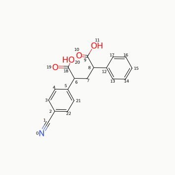 N#Cc1ccc(C(CC(C(=O)O)c2ccccc2)C(=O)O)cc1